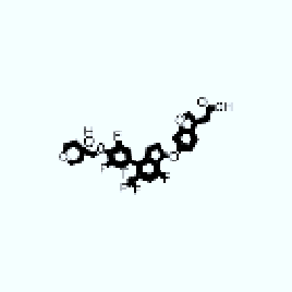 O=C(O)CC1COc2cc(O[C@@H]3CCc4c(-c5cc(F)c(OCC6(O)CCOCC6)c(F)c5)c(C(F)(F)F)cc(F)c43)ccc21